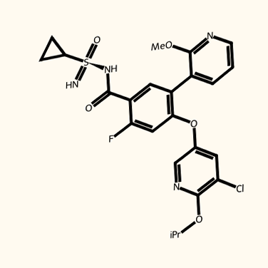 COc1ncccc1-c1cc(C(=O)N[S@](=N)(=O)C2CC2)c(F)cc1Oc1cnc(OC(C)C)c(Cl)c1